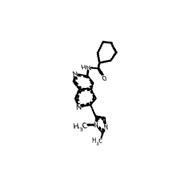 Cc1ncc(-c2cc3cc(NC(=O)C4CCCCC4)ncc3cn2)n1C